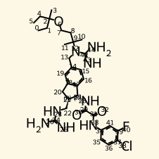 CCC(C)(CC)OCCC(C)(C)N(Cc1ccc2c(c1)C[C@H](CNC(=N)N)[C@H]2NC(=O)C(=O)Nc1ccc(Cl)c(F)c1)C(=N)N